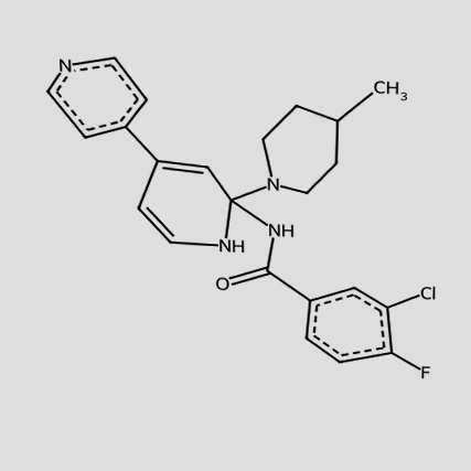 CC1CCN(C2(NC(=O)c3ccc(F)c(Cl)c3)C=C(c3ccncc3)C=CN2)CC1